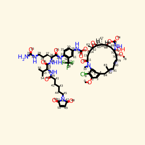 COc1cc2cc(c1Cl)N(C)C(=O)C[C@H](OC(=O)Nc1ccc(NC(=O)[C@H](CCCNC(N)=O)NC(=O)[C@@H](NC(=O)CCCCCN3C(=O)C=CC3=O)C(C)C)c(C(F)(F)F)c1)[C@]1(C)O[C@H]1[C@H](C)[C@@H]1C[C@@](O)(NC(=O)O1)[C@H](OC)/C=C/C=C(\C)C2